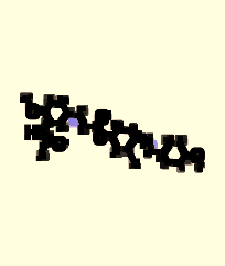 COc1ccc(/C=N/c2ccc(OC(=O)/C=C/c3ccc(OC)c(NC(C)=O)c3)cc2C)cc1